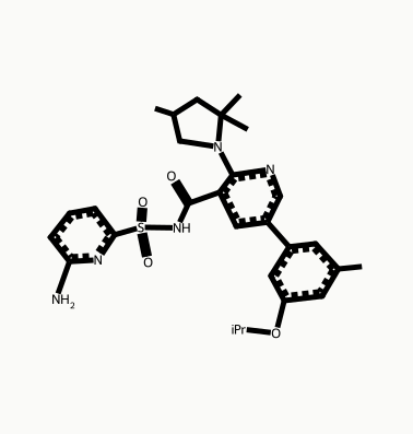 Cc1cc(OC(C)C)cc(-c2cnc(N3CC(C)CC3(C)C)c(C(=O)NS(=O)(=O)c3cccc(N)n3)c2)c1